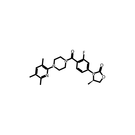 Cc1cc(C)c(N2CCN(C(=O)c3ccc(N4C(=O)OC[C@H]4C)cc3F)CC2)nc1C